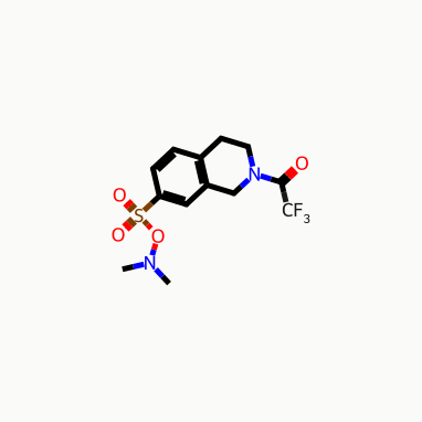 CN(C)OS(=O)(=O)c1ccc2c(c1)CN(C(=O)C(F)(F)F)CC2